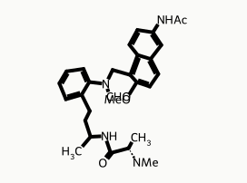 CN[C@@H](C)C(=O)NC(C)CCc1ccccc1N(C=O)Cc1c(OC)ccc2cc(NC(C)=O)ccc12